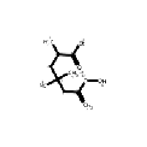 C=C(CC(C)(C#N)CC(C)C(=O)CC)OO